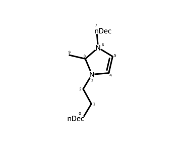 CCCCCCCCCCCCN1C=CN(CCCCCCCCCC)C1C